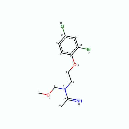 COCN(CCOc1ccc(Cl)cc1Br)C(C)=N